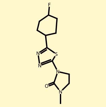 CN1CCN(c2nnc(C3CCC(F)CC3)s2)C1=O